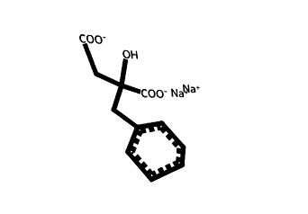 O=C([O-])CC(O)(Cc1ccccc1)C(=O)[O-].[Na+].[Na+]